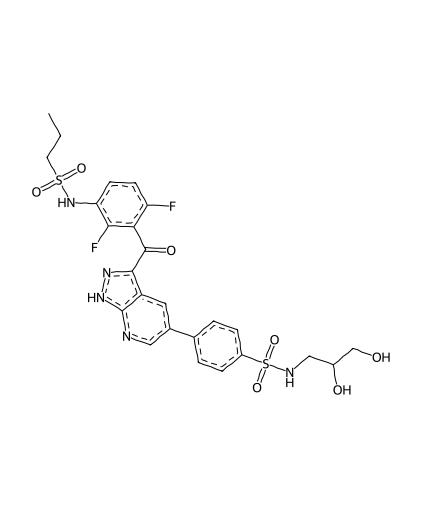 CCCS(=O)(=O)Nc1ccc(F)c(C(=O)c2n[nH]c3ncc(-c4ccc(S(=O)(=O)NCC(O)CO)cc4)cc23)c1F